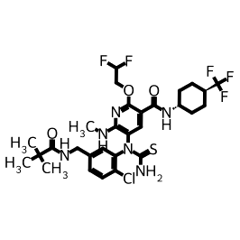 CNc1nc(OCC(F)F)c(C(=O)N[C@H]2CC[C@H](C(F)(F)F)CC2)cc1N(C(N)=S)c1cc(CNC(=O)C(C)(C)C)ccc1Cl